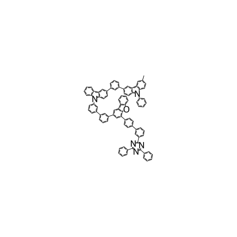 Cc1ccc2c(c1)c1cc(-c3cccc(-c4ccc5c(c4)c4ccccc4n5-c4cccc(-c5cccc(-c6cc(-c7ccc(-c8cccc(-c9nc(-c%10ccccc%10)nc(-c%10ccccc%10)n9)c8)cc7)c7oc8ccccc8c7c6)c5)c4)c3)ccc1n2-c1ccccc1